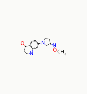 CON=C1CCN(c2ccc3c(c2)N=CCC3=O)C1